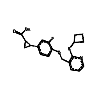 O=C(O)C1CC1c1ccc(OCc2cccnc2SC2CCC2)c(F)c1